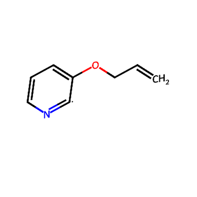 C=CCOc1[c]nccc1